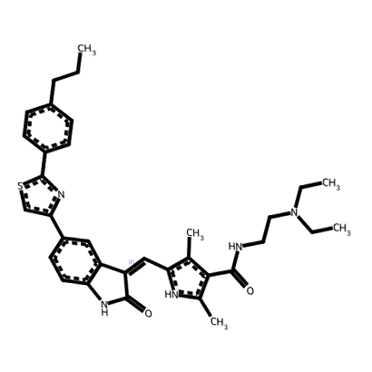 CCCc1ccc(-c2nc(-c3ccc4c(c3)/C(=C/c3[nH]c(C)c(C(=O)NCCN(CC)CC)c3C)C(=O)N4)cs2)cc1